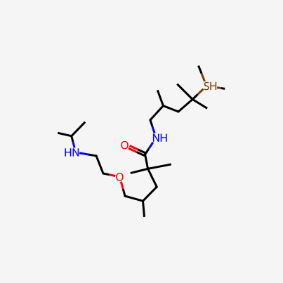 CC(COCCNC(C)C)CC(C)(C)C(=O)NCC(C)CC(C)(C)[SH](C)C